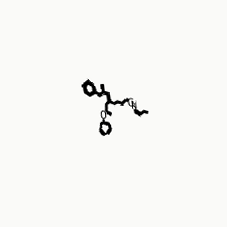 C=C(/C=C(\C=C(/C)OC1=CC=CC#CC1)CCCC=C=N/C=C\CC)Cc1ccccc1